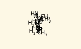 CO[C@@H](Cc1c[nH]c2c(N(C)C)cccc12)C(=O)N[C@@H](CCC(=O)C=N)C(=O)OC(C)C